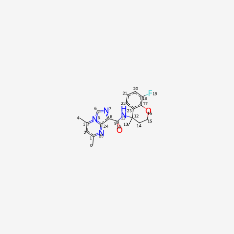 Cc1cc(C)n2cnc(C(=O)NC3(C)CCOc4c(F)cccc43)c2n1